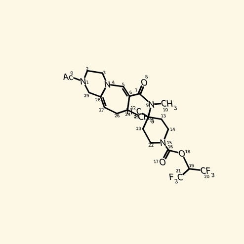 CC(=O)N1CCN2C=C(C(=O)N(C)C3(C)CCN(C(=O)OC(C(F)(F)F)C(F)(F)F)CC3)C(C)CC=C2C1